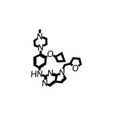 CN1CCN(c2ccc(Nc3ncc4ccn(CC5CCCO5)c4n3)cc2OC2CCC2)CC1